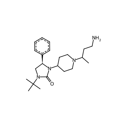 CC(CCN)N1CCC(N2C(=O)N(C(C)(C)C)C[C@H]2c2ccccc2)CC1